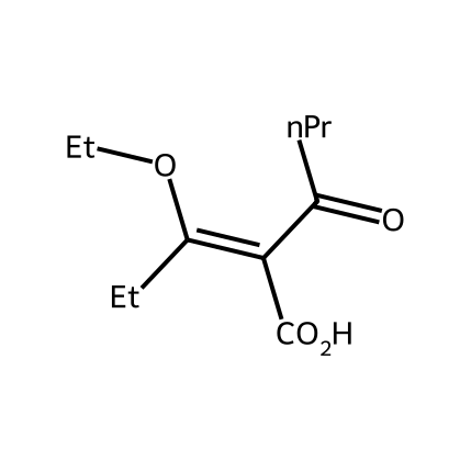 CCCC(=O)C(C(=O)O)=C(CC)OCC